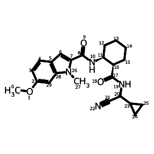 COc1ccc2cc(C(=O)N[C@H]3CCCC[C@H]3C(=O)NC(C#N)C3CC3)n(C)c2c1